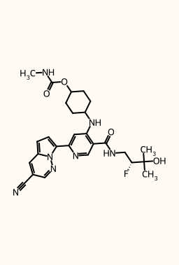 CNC(=O)OC1CCC(Nc2cc(-c3ccc4cc(C#N)cnn34)ncc2C(=O)NC[C@@H](F)C(C)(C)O)CC1